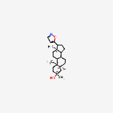 C[C@@]1(O)CC[C@]2(C)C3CC[C@]4(C)C(c5ccno5)CCC4C3CC[C@H]2C1